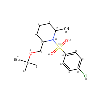 CC(C)(C)[Si](C)(C)OCC1CCCC(C#N)N1S(=O)(=O)c1ccc(Cl)cc1